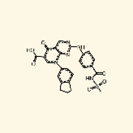 CS(=O)(=O)NC(=O)c1ccc(Nc2ncc3c(=O)c(C(=O)O)cn(-c4ccc5c(c4)CCC5)c3n2)cc1